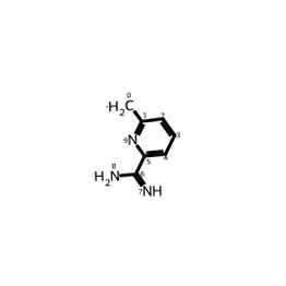 [CH2]c1cccc(C(=N)N)n1